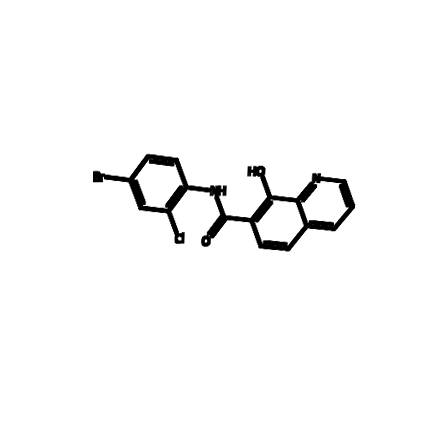 O=C(Nc1ccc(Br)cc1Cl)c1ccc2cccnc2c1O